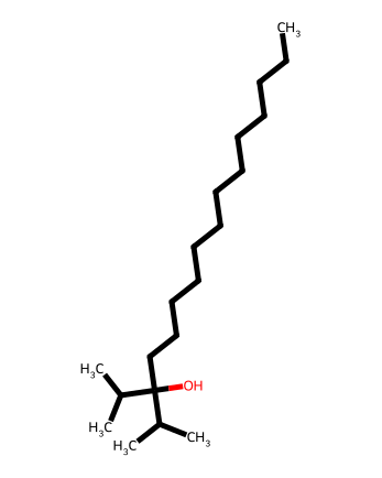 CCCCCCCCCCCCCC(O)(C(C)C)C(C)C